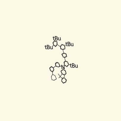 CC(C)(C)c1cc(-c2ccc(-c3cc(N(c4cccc(-c5cccc(C6CCCCC6)c5)c4)c4ccc5c(c4)C(C)(C)c4ccccc4-5)cc(C(C)(C)C)c3)cc2)cc(-c2cc(C(C)(C)C)cc(C(C)(C)C)c2)c1